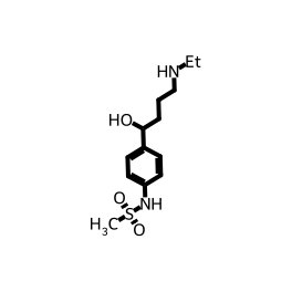 CCNCCCC(O)c1ccc(NS(C)(=O)=O)cc1